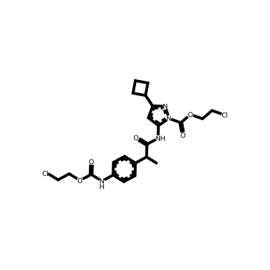 CC(C(=O)Nc1cc(C2CCC2)nn1C(=O)OCCCl)c1ccc(NC(=O)OCCCl)cc1